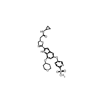 CS(=O)(=O)c1ccc(Oc2cc(OC3CCOCC3)c3[nH]c(C4=NCC(CC(=O)NC5CC5)S4)cc3c2)cn1